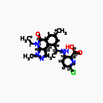 CCn1c(=O)c2cc(C)cc(C(C)Nc3ccc(Cl)nc3C(=O)O)c2c2cnn(C)c21